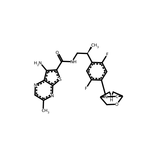 Cc1cnc2c(N)c(C(=O)NC[C@@H](C)c3cc(F)c(N4CC5CNCC4CO5)cc3F)sc2n1